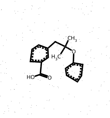 CC(C)(Cc1cccc(C(=O)O)c1)Oc1ccccc1